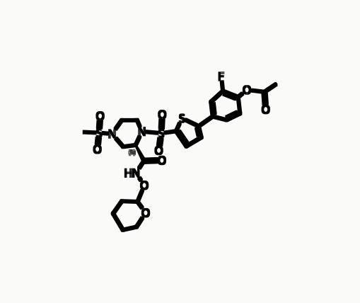 CC(=O)Oc1ccc(-c2ccc(S(=O)(=O)N3CCN(S(C)(=O)=O)C[C@@H]3C(=O)NOC3CCCCO3)s2)cc1F